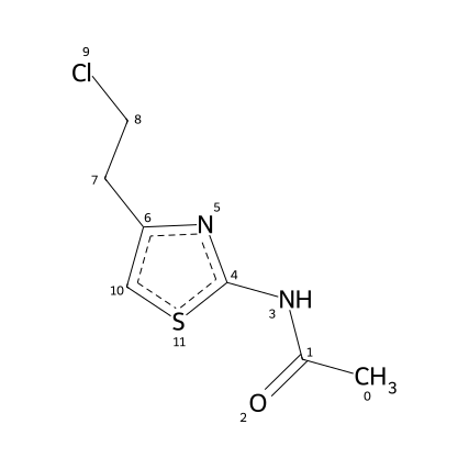 CC(=O)Nc1nc(CCCl)cs1